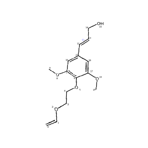 C=COCCOc1c(OC)cc(/C=C/CO)cc1OC